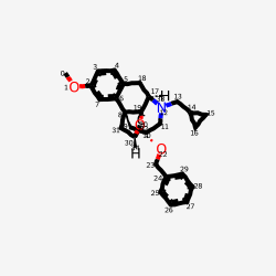 COc1ccc2c(c1)[C@]13CCCN(CC4CC4)[C@H](C2)[C@]12C[C@H](OCc1ccccc1)[C@H](C3)O2